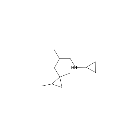 CC(CNC1CC1)C(C)C1(C)CC1C